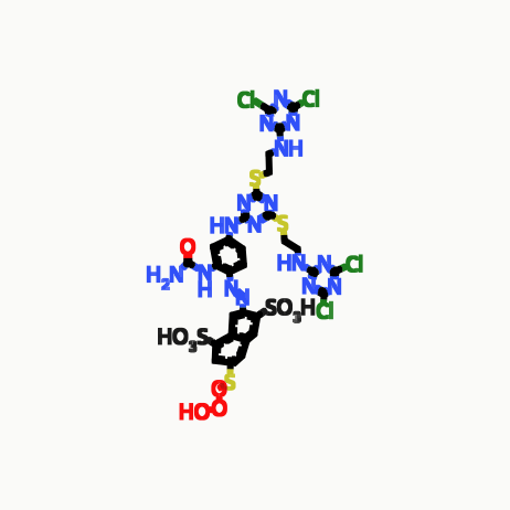 NC(=O)Nc1cc(Nc2nc(SCCNc3nc(Cl)nc(Cl)n3)nc(SCCNc3nc(Cl)nc(Cl)n3)n2)ccc1/N=N/c1cc2c(S(=O)(=O)O)cc(SOOO)cc2cc1S(=O)(=O)O